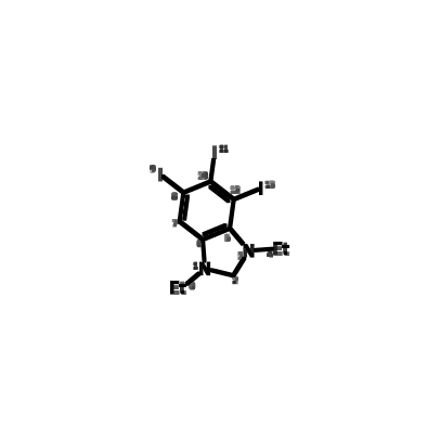 CCN1CN(CC)c2c1cc(I)c(I)c2I